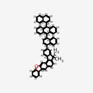 CC1(C)c2cc(-c3ccc(-c4c5ccccc5c(-c5cccc6ccccc56)c5ccccc45)c4ccccc34)ccc2-c2c1ccc1cc3c(cc21)oc1ccccc13